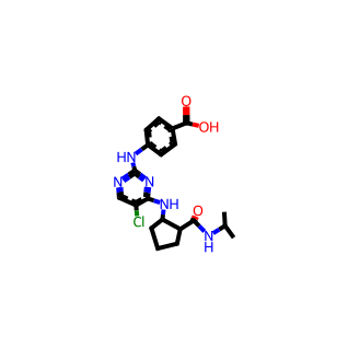 CC(C)NC(=O)C1CCCC1Nc1nc(Nc2ccc(C(=O)O)cc2)ncc1Cl